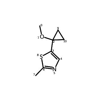 COC1(c2cnc(C)s2)CC1